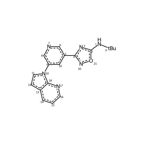 CC(C)(C)Nc1nc(-c2cncc(-n3ccc4c[c]cnc43)c2)no1